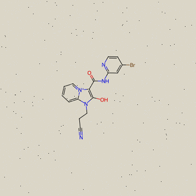 N#CCCn1c(O)c(C(=O)Nc2cc(Br)ccn2)[n+]2ccccc12